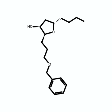 CCCC[C@H]1C[C@H](O)[C@H](CCCOCc2ccccc2)O1